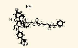 C[C@@H](N1CCN(c2ccc(-n3cnnn3)cc2)C1=O)[C@](O)(CN1CN(COC(=O)OCCCC(=O)OCc2ccccc2)C=N1)c1ccc(F)cc1F.I